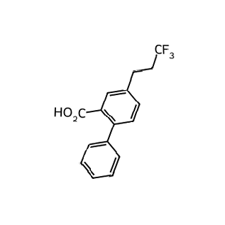 O=C(O)c1cc(CCC(F)(F)F)ccc1-c1ccccc1